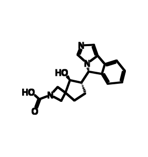 O=C(O)N1CC2(CC[C@@H]([C@H]3c4ccccc4-c4cncn43)[C@@H]2O)C1